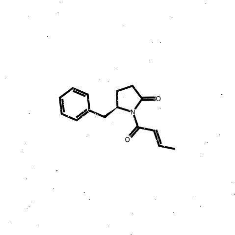 C/C=C/C(=O)N1C(=O)CC[C@@H]1Cc1ccccc1